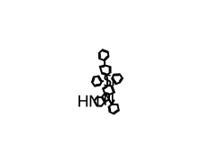 CC1(n2c3c(c4cc([Si](c5ccccc5)(c5ccccc5)c5ccc(-c6ccccc6)cc5)ccc42)CNCC3)C=CC=CC1